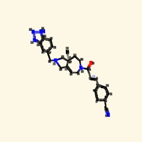 N#Cc1ccc(/C=C/C(=O)N2CC=C3CN(Cc4ccc5[nH]nnc5c4)C[C@H]3CC2)cc1